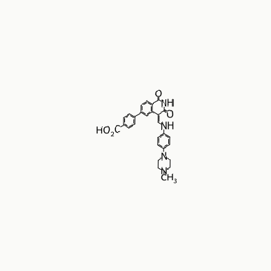 CN1CCN(c2ccc(NC=C3C(=O)NC(=O)c4ccc(-c5ccc(C(=O)O)cc5)cc43)cc2)CC1